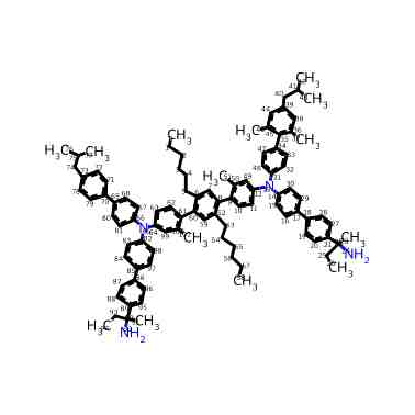 CCCCCCc1cc(-c2ccc(N(c3ccc(-c4ccc(C(C)(N)CC)cc4)cc3)c3ccc(-c4c(C)cc(CC(C)C)cc4C)cc3)cc2C)c(CCCCCC)cc1-c1ccc(N(c2ccc(-c3ccc(CC(C)C)cc3)cc2)c2ccc(-c3ccc(C(C)(N)CC)cc3)cc2)cc1C